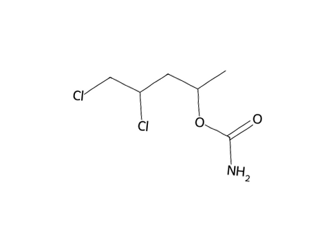 CC(CC(Cl)CCl)OC(N)=O